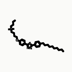 CCCCCCCCCCc1ccc(-c2nnc(-c3ccc(OCCCC[Si](C)(C)CCCC)cc3)s2)cc1